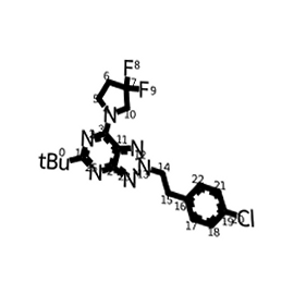 CC(C)(C)c1nc(N2CCC(F)(F)C2)c2nn(CCc3ccc(Cl)cc3)nc2n1